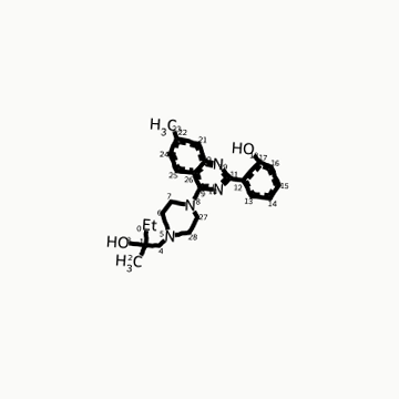 CCC(C)(O)CN1CCN(c2nc(-c3ccccc3O)nc3cc(C)ccc23)CC1